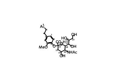 COc1cc(CCC(C)=O)ccc1OC1(C(=O)O)CC(O)C(NC(C)=O)C(C(O)C(O)CO)O1